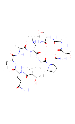 CC(=O)N[C@H](C(=O)N[C@@H](CCC(N)=O)C(=O)N[C@@H](CC(=O)O)C(=O)N[C@@H](C)C(=O)N[C@@H](CCC(=O)O)C(=O)N[C@@H](CC(=O)O)C(=O)N1CCC[C@H]1C(=O)N[C@H](C(=O)N[C@@H](C)C(=O)N[C@@H](CO)C(N)=O)[C@@H](C)O)[C@@H](C)O